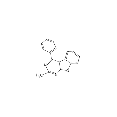 CC1=NC2Oc3ccccc3C2C(c2ccccc2)=N1